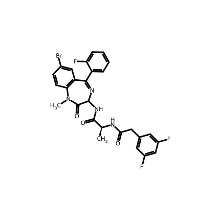 C[C@H](NC(=O)Cc1cc(F)cc(F)c1)C(=O)NC1N=C(c2ccccc2F)c2cc(Br)ccc2N(C)C1=O